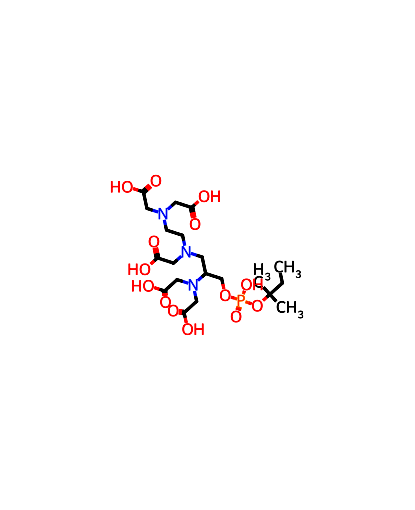 CCC(C)(C)OP(=O)(O)OCC(CN(CCN(CC(=O)O)CC(=O)O)CC(=O)O)N(CC(=O)O)CC(=O)O